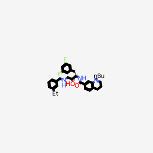 CCCCN1CCCc2ccc(C(=O)N[C@@H](Cc3cc(F)cc(F)c3)[C@H](O)CNCc3cccc(CC)c3)cc21